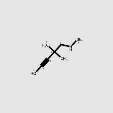 CC(C)(C#CO)CNC(C)(C)C